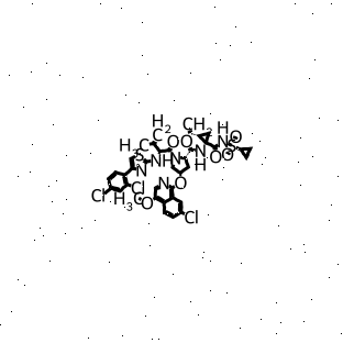 C=C[C@@H]1C[C@]1(NC(=O)[C@@H]1C[C@@H](Oc2ncc(OC)c3ccc(Cl)cc23)CN1C(=O)[C@@H](Nc1nc(-c2ccc(Cl)cc2Cl)cs1)C(=C)C)C(=O)NS(=O)(=O)C1CC1